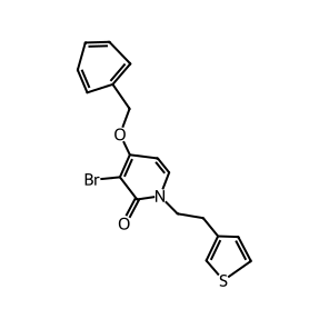 O=c1c(Br)c(OCc2ccccc2)ccn1CCc1ccsc1